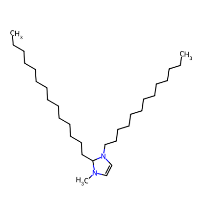 CCCCCCCCCCCCCCC1N(C)C=CN1CCCCCCCCCCCCC